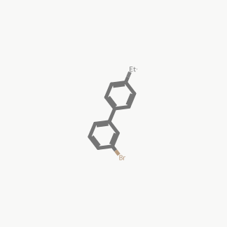 C[CH]c1ccc(-c2cccc(Br)c2)cc1